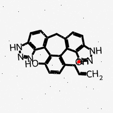 C=CC(O)c1ccc(O)c2c1-c1c(ccc3[nH]nnc13)Cc1ccc3[nH]nnc3c1-2